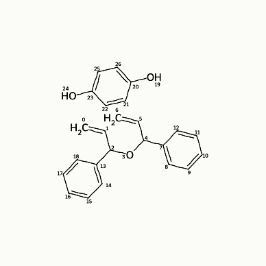 C=CC(OC(C=C)c1ccccc1)c1ccccc1.Oc1ccc(O)cc1